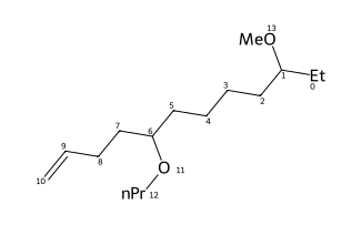 [CH2]CC(CCCCC(CCC=C)OCCC)OC